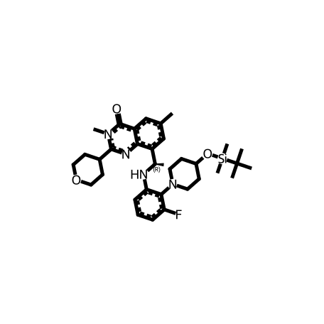 Cc1cc([C@@H](C)Nc2cccc(F)c2N2CCC(O[Si](C)(C)C(C)(C)C)CC2)c2nc(C3CCOCC3)n(C)c(=O)c2c1